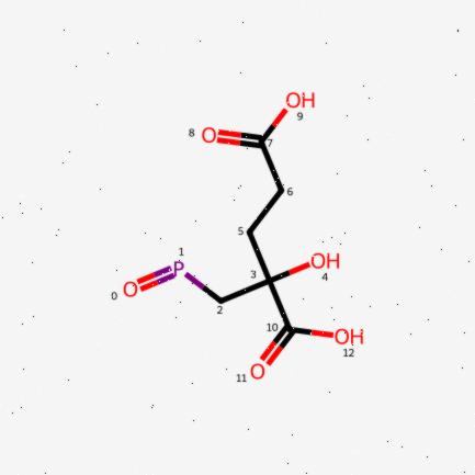 O=PCC(O)(CCC(=O)O)C(=O)O